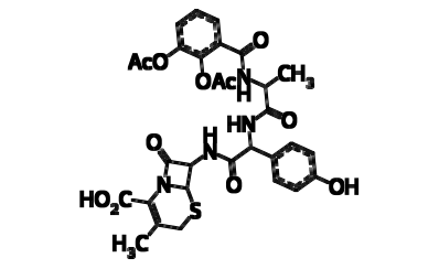 CC(=O)Oc1cccc(C(=O)NC(C)C(=O)NC(C(=O)NC2C(=O)N3C(C(=O)O)=C(C)CSC23)c2ccc(O)cc2)c1OC(C)=O